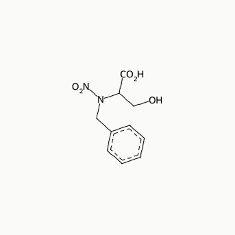 O=C(O)C(CO)N(Cc1ccccc1)[N+](=O)[O-]